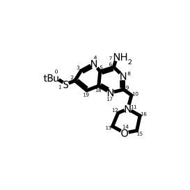 CC(C)(C)Sc1cnc2c(N)nc(CN3CCOCC3)nc2c1